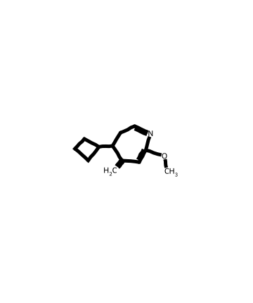 C=C1C=C(OC)N=CCC1C1CCC1